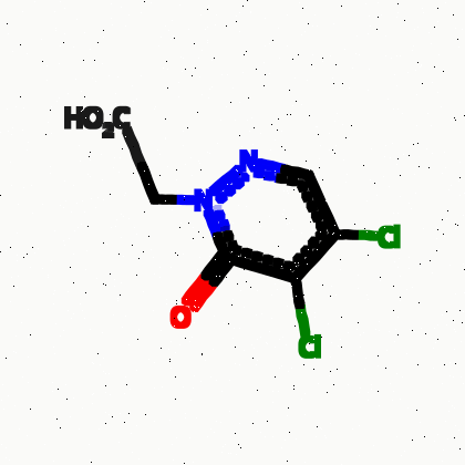 O=C(O)Cn1ncc(Cl)c(Cl)c1=O